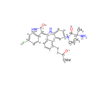 COC(=O)CCc1cccc(/C(Nc2ccc(N(C)C(=O)C(C)(C)N)cc2)=C2/C(=O)Nc3cc(F)ccc32)c1